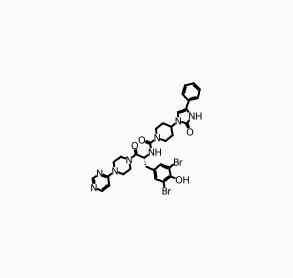 O=C(N[C@H](Cc1cc(Br)c(O)c(Br)c1)C(=O)N1CCN(c2ccncn2)CC1)N1CCC(n2cc(-c3ccccc3)[nH]c2=O)CC1